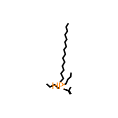 C=C(C)C[PH](CCCC)(CCCC)CCCCCCCCCCCCCCCC